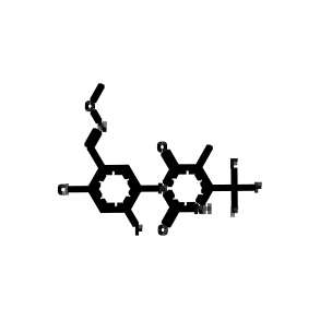 CON=Cc1cc(-n2c(=O)[nH]c(C(F)(F)F)c(C)c2=O)c(F)cc1Cl